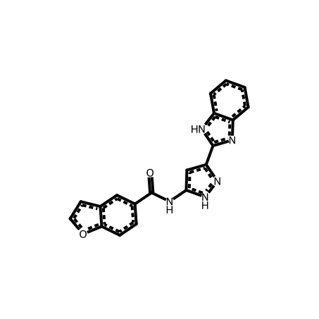 O=C(Nc1cc(-c2nc3ccccc3[nH]2)n[nH]1)c1ccc2occc2c1